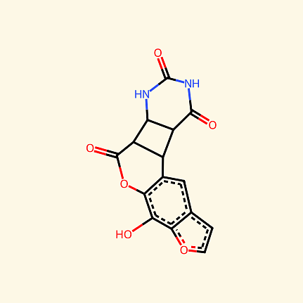 O=C1NC(=O)C2C(N1)C1C(=O)Oc3c(cc4ccoc4c3O)C21